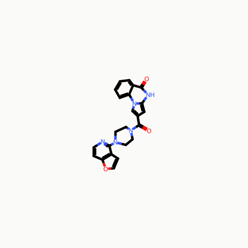 O=C(c1cc2[nH]c(=O)c3ccccc3n2c1)N1CCN(c2nccc3occc23)CC1